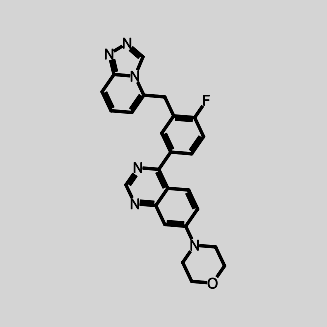 Fc1ccc(-c2ncnc3cc(N4CCOCC4)ccc23)cc1Cc1cccc2nncn12